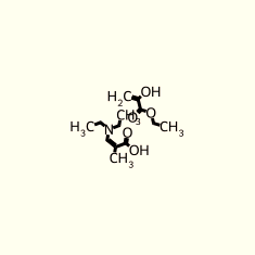 C=C(O)C(=O)OCC.CCN(C=C(C)C(=O)O)CC